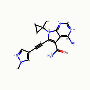 Cn1cc(C#Cc2c(C(N)=O)c3c(N)ncnc3n2C2(C)CC2)cn1